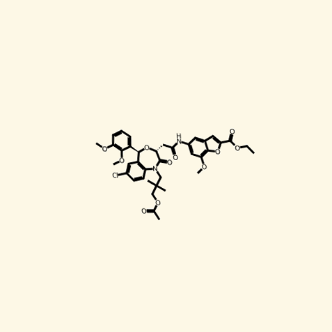 CCOC(=O)c1cc2cc(NC(=O)C[C@H]3O[C@H](c4cccc(OC)c4OC)c4cc(Cl)ccc4N(CC(C)(C)COC(C)=O)C3=O)cc(OC)c2o1